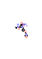 C[C@H]1C[C@@H]1NC(=O)C1=CN(Cc2cccc(OCCN3CCOCC3)c2)C(=O)C(C)(C(N)=O)C1